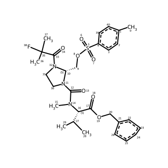 Cc1ccc(S(=O)(=O)OC[C@@H]2N(C(=O)N(C)[C@H](C(=O)OCc3ccccc3)C(C)C)CCN2C(=O)C(C)(C)F)cc1